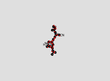 CC1(C)c2ccccc2-c2cc3c4cc(-c5ccc6c(c5)-c5ccccc5C6c5ccccc5)ccc4n(-c4cccc(-c5nc(-c6ccc(-c7ccc(-c8cc(-c9ccc(C#N)cc9)nc(-c9ccc(-n%10c%11ccccc%11c%11c%12c(ccc%11%10)oc%10ccccc%10%12)cc9)n8)cc7)cc6)cc(-c6cccc(C#N)c6)n5)c4)c3cc21